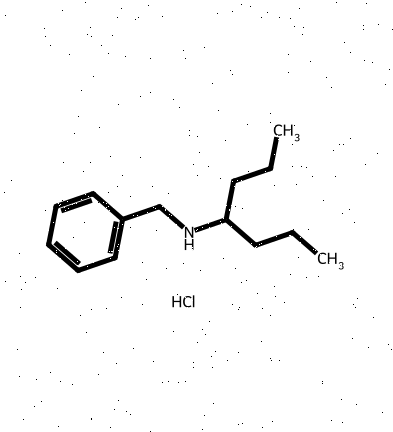 CCCC(CCC)NCc1ccccc1.Cl